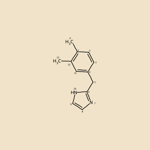 Cc1ccc(Cc2ncc[nH]2)cc1C